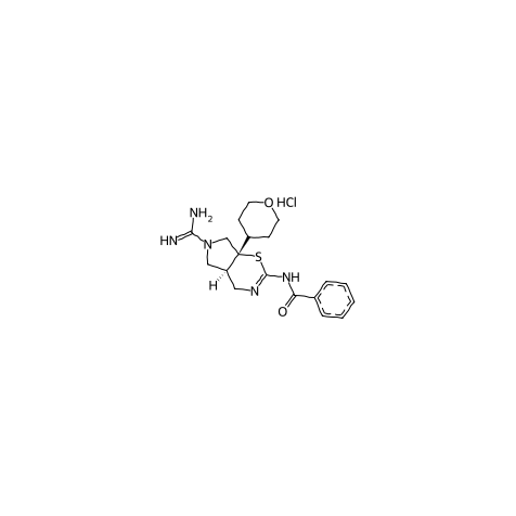 Cl.N=C(N)N1C[C@@H]2CN=C(NC(=O)c3ccccc3)S[C@@]2(C2CCOCC2)C1